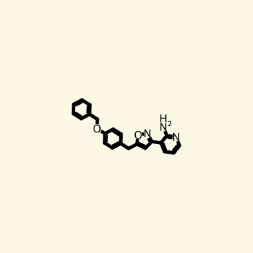 Nc1ncccc1-c1cc(Cc2ccc(OCc3ccccc3)cc2)on1